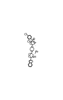 CC(C)C[C@H](NC(=O)c1cc2ccccc2s1)C(=O)N1CCN(C(=O)[C@]2(C)CN2S(=O)(=O)c2ccc(Cl)cc2Cl)CC1